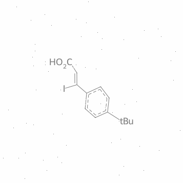 CC(C)(C)c1ccc(C(I)=CC(=O)O)cc1